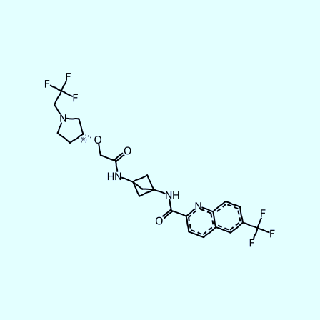 O=C(CO[C@@H]1CCN(CC(F)(F)F)C1)NC12CC(NC(=O)c3ccc4cc(C(F)(F)F)ccc4n3)(C1)C2